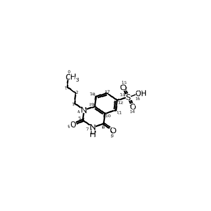 CCCCn1c(=O)[nH]c(=O)c2cc(S(=O)(=O)O)ccc21